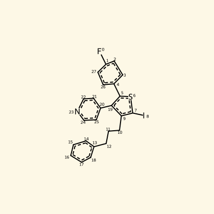 Fc1ccc(-c2sc(I)c(CCCc3ccccc3)c2-c2ccncc2)cc1